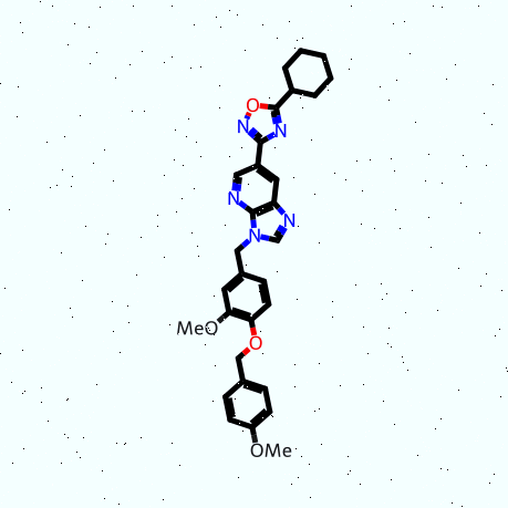 COc1ccc(COc2ccc(Cn3cnc4cc(-c5noc(C6CCCCC6)n5)cnc43)cc2OC)cc1